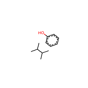 CC(C)C(C)C.Oc1ccccc1